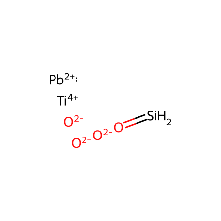 O=[SiH2].[O-2].[O-2].[O-2].[Pb+2].[Ti+4]